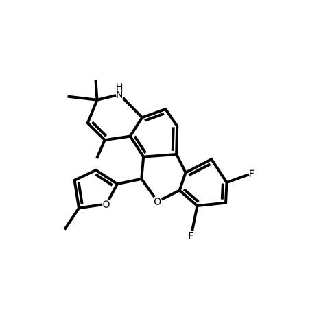 CC1=CC(C)(C)Nc2ccc3c(c21)C(c1ccc(C)o1)Oc1c(F)cc(F)cc1-3